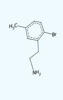 Cc1ccc(Br)c(CCN)c1